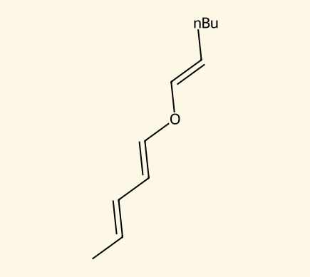 CC=CC=COC=CCCCC